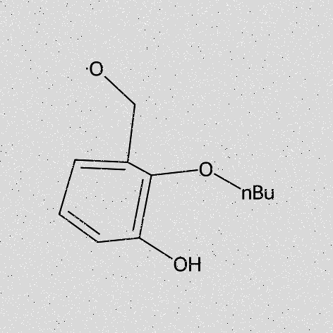 CCCCOc1c(O)cccc1C[O]